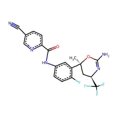 C[C@@]1(c2cc(NC(=O)c3ccc(C#N)cn3)ccc2F)C[C@H](C(F)(F)F)N=C(N)O1